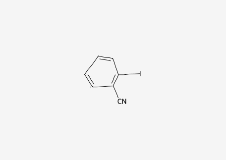 N#Cc1[c]cccc1I